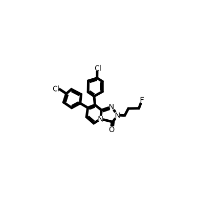 O=c1n(CCCF)nc2c(-c3ccc(Cl)cc3)c(-c3ccc(Cl)cc3)ccn12